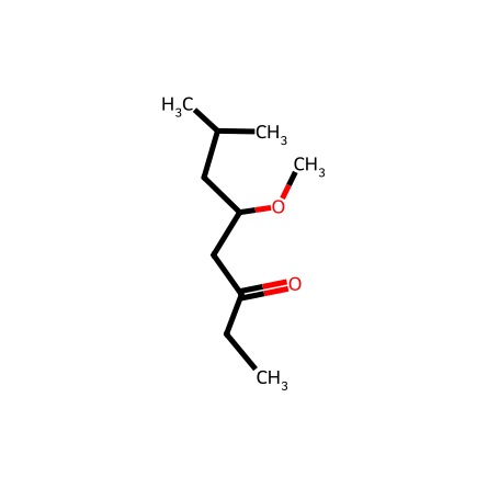 CCC(=O)CC(CC(C)C)OC